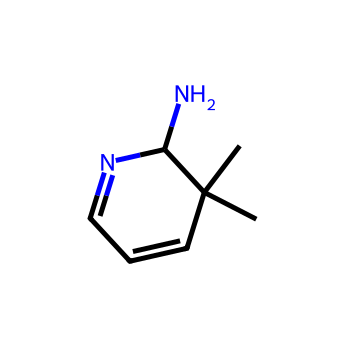 CC1(C)C=CC=NC1N